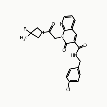 CC1(F)CN(C(=O)Cn2c(=O)c(C(=O)NCc3ccc(Cl)cc3)cc3cccnc32)C1